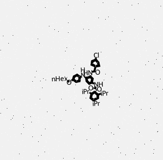 CCCCCCOc1ccc(Nc2ccc(NS(=O)(=O)c3c(C(C)C)cc(C(C)C)cc3C(C)C)cc2NC(=O)c2ccc(Cl)cc2)cc1